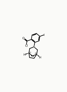 O=C(Cl)c1ccc(I)cc1N1C[C@H]2CC[C@@H](C1)C21CC1